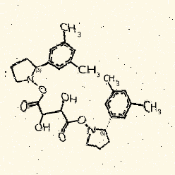 Cc1cc(C)cc([C@@H]2CCCN2OC(=O)C(O)C(O)C(=O)ON2CCC[C@H]2c2cc(C)cc(C)c2)c1